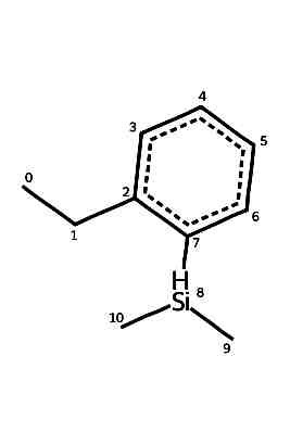 CCc1ccccc1[SiH](C)C